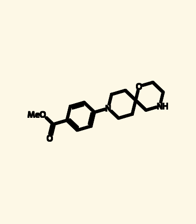 COC(=O)c1ccc(N2CCC3(CC2)CNCCO3)cc1